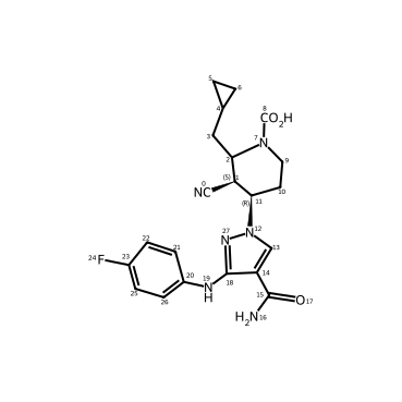 N#C[C@H]1C(CC2CC2)N(C(=O)O)CC[C@H]1n1cc(C(N)=O)c(Nc2ccc(F)cc2)n1